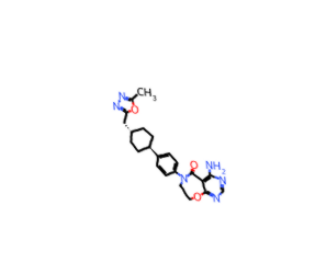 Cc1nnc(C[C@H]2CC[C@H](c3ccc(N4CCOc5ncnc(N)c5C4=O)cc3)CC2)o1